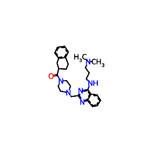 CN(C)CCCNc1nc(CN2CCN(C(=O)C3CCc4ccccc4C3)CC2)nc2ccccc12